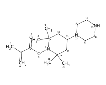 C=C(C)C(=O)ON1C(C)(C)CC(N2CCNCC2)CC1(C)C